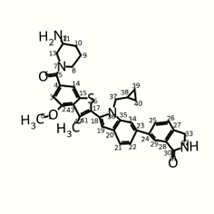 COc1cc(C(=O)N2CCCC(N)C2)cc2sc(-c3cc4ccc(-c5ccc6c(c5)C(=O)NC6)cc4n3CC3CC3)c(C)c12